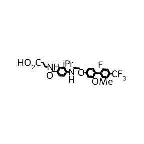 COc1cc(OC[C@@H](Nc2ccc(C(=O)NCCC(=O)O)cc2)C(C)C)ccc1-c1ccc(C(F)(F)F)cc1F